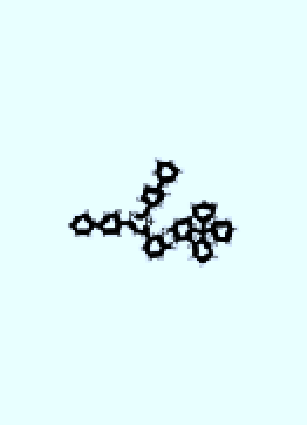 c1ccc(-c2ccc(-c3cc(-c4cccc5c4Oc4ccc6c(c4O5)-c4ccccc4C6(c4ccccc4)c4ccccc4)nc(-c4ccc(-c5ccccc5)cc4)n3)cc2)cc1